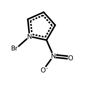 O=[N+]([O-])c1cccn1Br